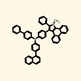 Cn1c(-c2ccccc2)c(-c2ccc(N(c3ccc(-c4ccccc4)cc3)c3ccc(-c4cccc5ccccc45)cc3)cc2)c2c3ccccc3c3ccccc3c21